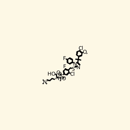 COc1cc(C(C)(C)c2cnc(SCc3c(F)cc(S(=O)(=O)N(C)[C@H](CCCC[N+](C)(C)C)C(=O)O)cc3Cl)n2-c2ccc(F)cc2)ccc1Cl